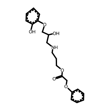 O=C(COc1ccccc1)OCCCNCC(O)COc1ccccc1O